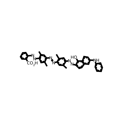 Cc1cc(N=Nc2ccccc2C(=O)O)c(C)cc1N=Nc1cc(C)c(N=Nc2ccc3cc(Nc4ccccc4)ccc3c2O)cc1C